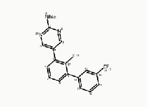 CNc1ncc(-c2cccc(-c3cccc(C(F)(F)F)c3)c2F)cn1